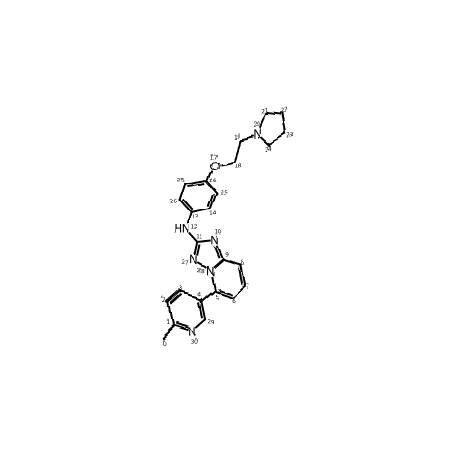 Cc1ccc(-c2cccc3nc(Nc4ccc(OCCN5CCCC5)cc4)nn23)cn1